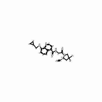 N#C[C@@H]1CC(F)(F)CN1C(=O)CNC(=O)c1ccnc2c(OCC3CC3)cccc12